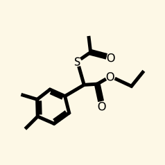 CCOC(=O)C(SC(C)=O)c1ccc(C)c(C)c1